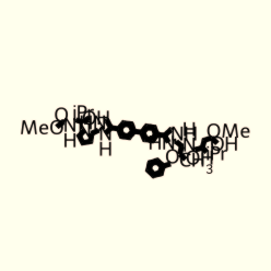 COC(=O)NC(C(C)C)C(O)N1CCCC1C1NCC(c2ccc(-c3ccc(C4CNC(C(NC(O)C(CC(O)OC)C(C)C)C(C)OCc5ccccc5)N4)cc3)cc2)N1